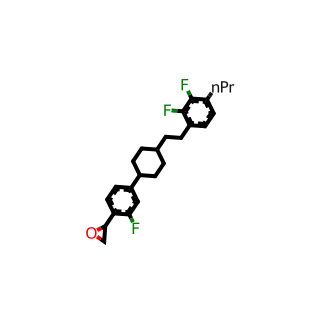 CCCc1ccc(CCC2CCC(c3ccc(C4CO4)c(F)c3)CC2)c(F)c1F